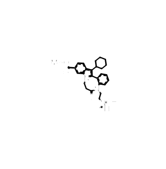 COC(=O)c1ccc2c(C3CCCCC3)c3n(c2c1)CCC(=O)N(CCN(C)C)c1ccccc1-3